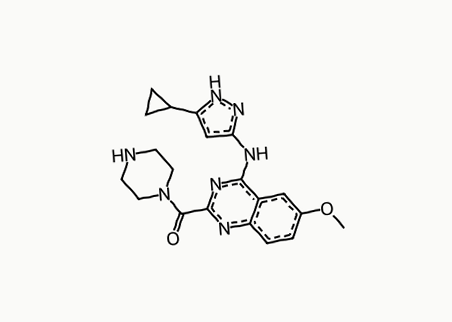 COc1ccc2nc(C(=O)N3CCNCC3)nc(Nc3cc(C4CC4)[nH]n3)c2c1